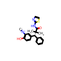 [C-]#[N+]c1cc([C@@H](c2ccccc2)C(C)(C)C(=O)Nc2nccs2)ccc1O